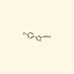 CCCCCc1cc(-c2ccc(Cl)cc2)co1